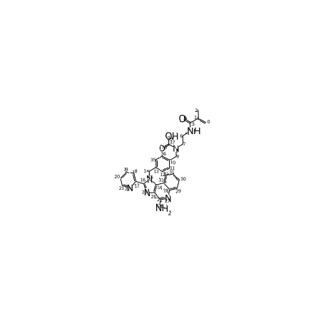 C=C(C)C(=O)NCCN(Cc1ccc(Cn2c(-c3ccccn3)nc3c(N)nc4ccccc4c32)cc1)C(=O)O